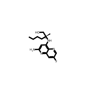 CCCC[C@](C)(CO)Nc1cc(N)nc2cc(F)cnc12